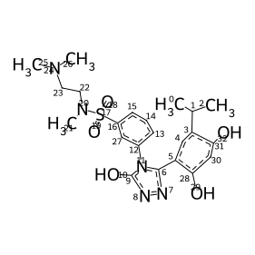 CC(C)c1cc(-c2nnc(O)n2-c2cccc(S(=O)(=O)N(C)CCN(C)C)c2)c(O)cc1O